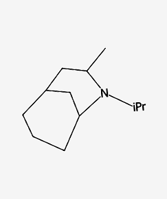 CC(C)N1C(C)CC2CCCC1C2